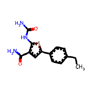 CCc1ccc(-c2cc(C(N)=O)c(NC(N)=O)s2)cc1